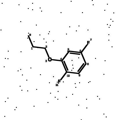 CCCOc1[c]c(F)ccc1F